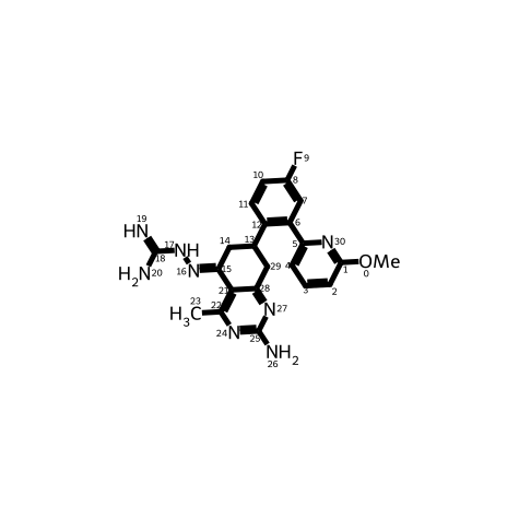 COc1cccc(-c2cc(F)ccc2C2CC(=NNC(=N)N)c3c(C)nc(N)nc3C2)n1